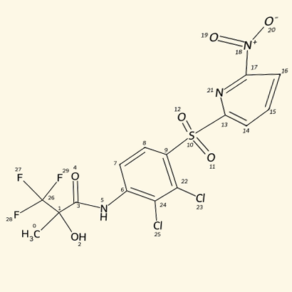 CC(O)(C(=O)Nc1ccc(S(=O)(=O)c2cccc([N+](=O)[O-])n2)c(Cl)c1Cl)C(F)(F)F